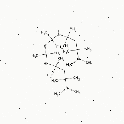 CN(C)C(C)(C)CC(C)(C)NC(C)(C)CC(C)(C)NC(C)(C)CC(C)(C)N(C)C